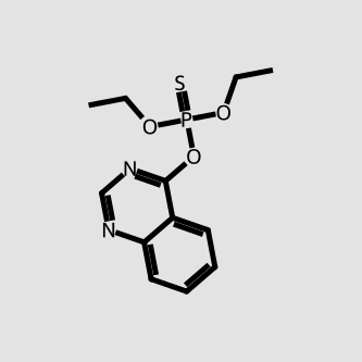 CCOP(=S)(OCC)Oc1ncnc2ccccc12